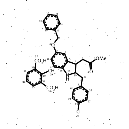 COC(=O)CC1c2cc(OCc3ccccc3)ccc2NC1Cc1ccc(Cl)cc1.Cc1c(C(=O)O)cccc1C(=O)O